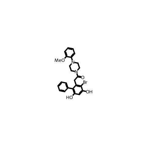 COc1ccccc1N1CCN(C(=O)Cc2c(Br)c(O)cc(O)c2-c2ccccc2)CC1